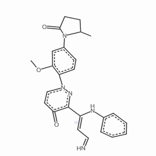 COc1cc(N2C(=O)CCC2C)ccc1-n1ccc(=O)c(/C(=C/C=N)Nc2ccccc2)n1